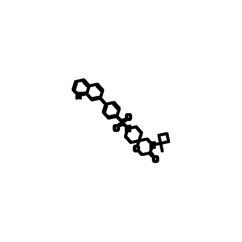 CC1(N2CC3(CCN(S(=O)(=O)c4ccc(-c5ccc6cccnc6c5)cc4)CC3)OCC2=O)CCC1